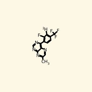 [2H]c1c(C(F)(F)F)ccc(-c2ncnc3nc(C)cnc23)c1F